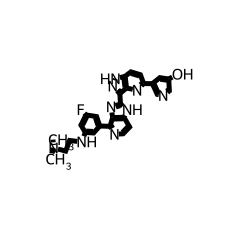 CN(C)CCNc1cc(F)cc(-c2nccc3[nH]c(-c4n[nH]c5ccc(-c6cncc(O)c6)nc45)nc23)c1